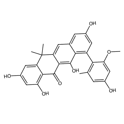 COc1cc(O)cc(C)c1-c1cc(O)cc2cc3c(c(O)c12)C(=O)c1c(O)cc(O)cc1C3(C)C